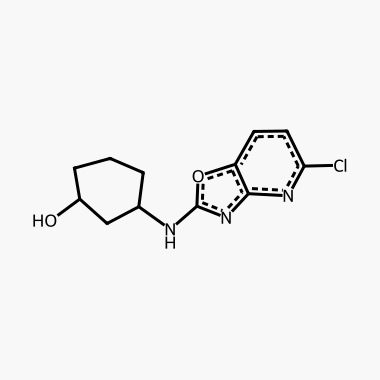 OC1CCCC(Nc2nc3nc(Cl)ccc3o2)C1